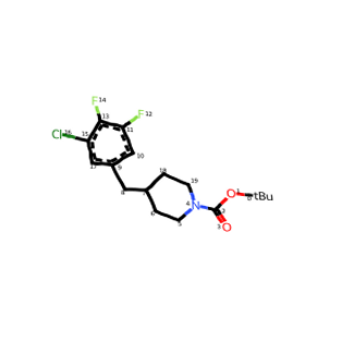 CC(C)(C)OC(=O)N1CCC(Cc2cc(F)c(F)c(Cl)c2)CC1